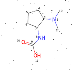 CN(C)[C@H]1CCC[C@H]1NC(=O)O